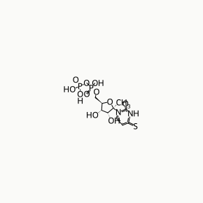 C[C@@]1(n2ccc(=S)[nH]c2=O)O[C@H](COP(=O)(O)OP(=O)(O)O)[C@@H](O)[C@H]1O